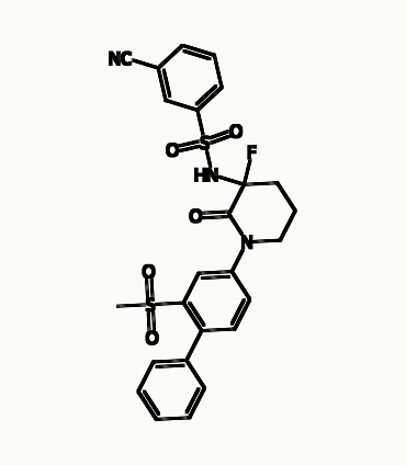 CS(=O)(=O)c1cc(N2CCCC(F)(NS(=O)(=O)c3cccc(C#N)c3)C2=O)ccc1-c1ccccc1